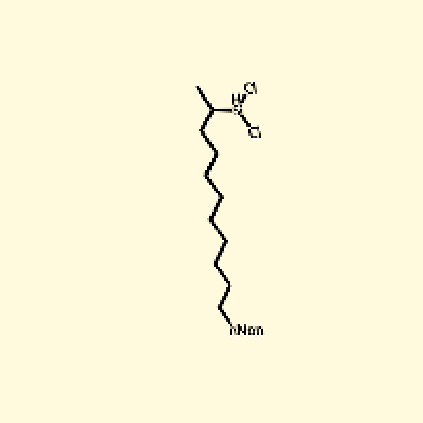 CCCCCCCCCCCCCCCCCCC(C)[SiH](Cl)Cl